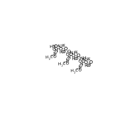 C=CC(=O)N1CCN(c2c3c(nc4c(F)c(-c5c(O)cccc5F)c(Cl)cc24)NC(c2ccc(F)c(-c4c(Cl)cc5c(N6CCN(C(=O)C=C)CC6)c6c(nc5c4F)OC(c4ccc(F)c(-c5c(Cl)cc7c(N8CCN(C(=O)C=C)CC8)c8c(=O)[nH]ccc8nc7c5F)c4O)CO6)c2O)CO3)CC1